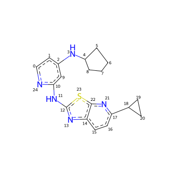 c1cc(NC2CCCC2)cc(Nc2nc3ccc(C4CC4)nc3s2)n1